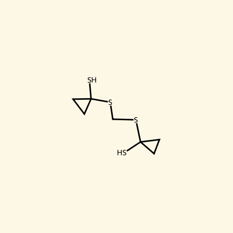 SC1(SCSC2(S)CC2)CC1